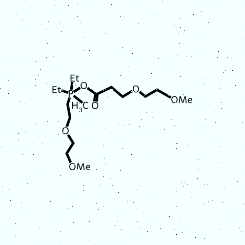 CCP(C)(CC)(CCOCCOC)OC(=O)CCOCCOC